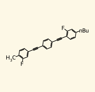 CCCCc1ccc(C#Cc2ccc(C#Cc3ccc(C)c(F)c3)cc2)c(F)c1